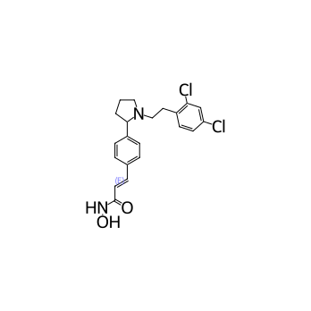 O=C(/C=C/c1ccc(C2CCCN2CCc2ccc(Cl)cc2Cl)cc1)NO